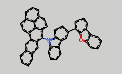 c1ccc2cc3c(cc2c1)c(-n1c2ccccc2c2cc(-c4cccc5c4oc4ccccc45)ccc21)c1ccc2cccc4ccc3c1c24